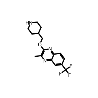 Cc1nc2cc(C(F)(F)F)ccc2nc1OCC1CCNCC1